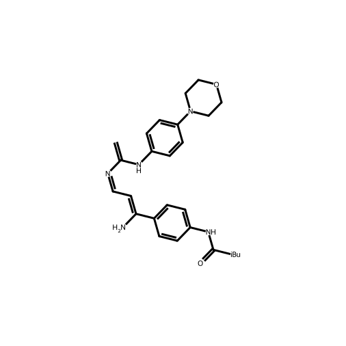 C=C(/N=C\C=C(/N)c1ccc(NC(=O)C(C)CC)cc1)Nc1ccc(N2CCOCC2)cc1